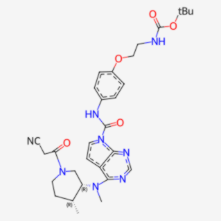 C[C@@H]1CCN(C(=O)CC#N)C[C@@H]1N(C)c1ncnc2c1ccn2C(=O)Nc1ccc(OCCNC(=O)OC(C)(C)C)cc1